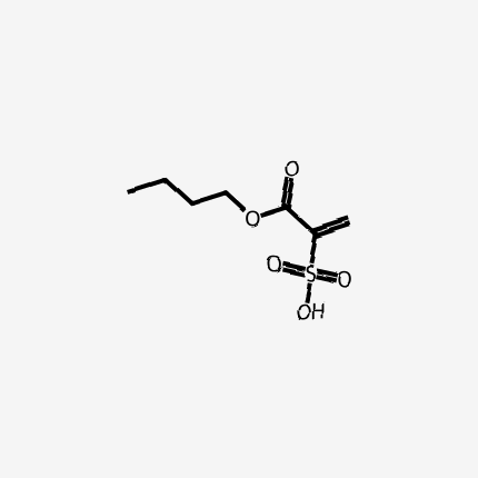 C=C(C(=O)OCCCC)S(=O)(=O)O